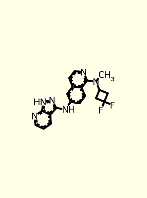 CN(c1nccc2cc(Nc3n[nH]c4ncccc34)ccc12)C1CC(F)(F)C1